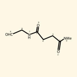 CNC(=O)CCC(=O)NCC=O